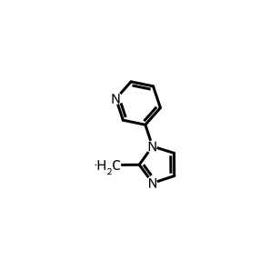 [CH2]c1nccn1-c1cccnc1